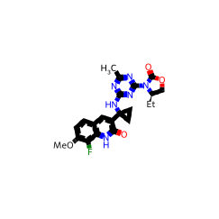 CC[C@H]1COC(=O)N1c1nc(C)nc(NC2(c3cc4ccc(OC)c(F)c4[nH]c3=O)CC2)n1